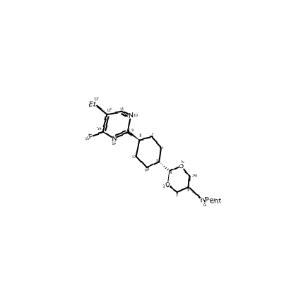 CCCCCC1COC([C@H]2CC[C@H](c3ncc(CC)c(F)n3)CC2)OC1